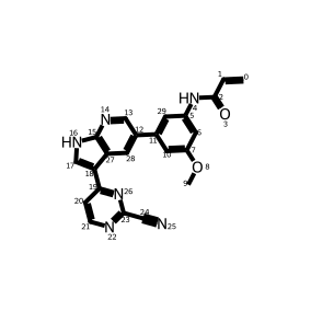 C=CC(=O)Nc1cc(OC)cc(-c2cnc3[nH]cc(-c4ccnc(C#N)n4)c3c2)c1